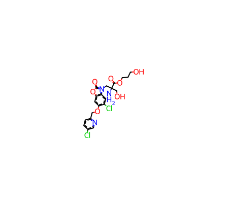 NC(CO)(Cn1c(=O)oc2cc(OCc3ccc(Cl)cn3)c(Cl)cc21)C(=O)OCCCO